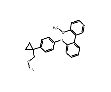 COCC1(c2ccc(Oc3ncccc3-c3cnccc3OC)cc2)CC1